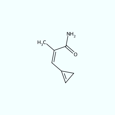 CC(=CC1=CC1)C(N)=O